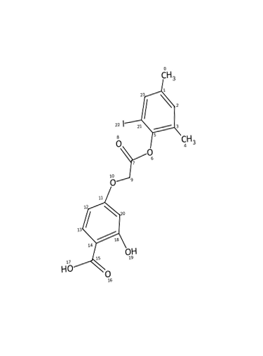 Cc1cc(C)c(OC(=O)COc2ccc(C(=O)O)c(O)c2)c(I)c1